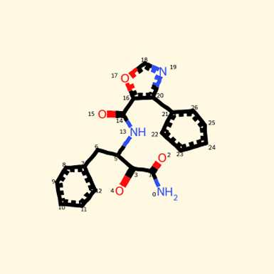 NC(=O)C(=O)C(Cc1ccccc1)NC(=O)c1ocnc1-c1ccccc1